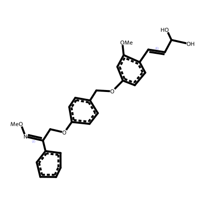 CO/N=C(\COc1ccc(COc2ccc(/C=C/C(O)O)c(OC)c2)cc1)c1ccccc1